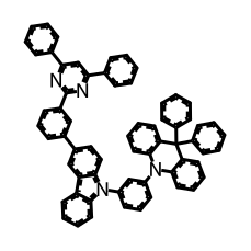 c1ccc(-c2cc(-c3ccccc3)nc(-c3cccc(-c4ccc5c(c4)c4ccccc4n5-c4cccc(N5c6ccccc6C(c6ccccc6)(c6ccccc6)c6ccccc65)c4)c3)n2)cc1